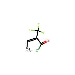 CC=C(C(=O)Cl)C(F)(F)F